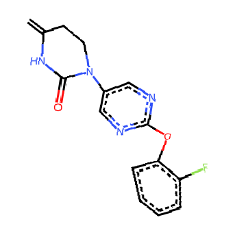 C=C1CCN(c2cnc(Oc3ccccc3F)nc2)C(=O)N1